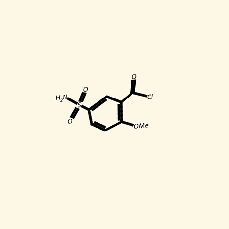 COc1ccc(S(N)(=O)=O)cc1C(=O)Cl